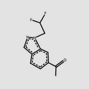 CC(=O)c1ccc2cnn(CC(F)F)c2c1